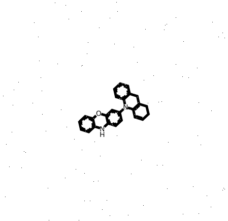 C1=CC2=C(CC1)Cc1ccccc1N2c1ccc2c(c1)Oc1ccccc1N2